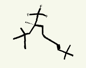 CC(C)(C)/C=C/CC[C@@](C)(CC(C)(C)C)C(F)(F)F